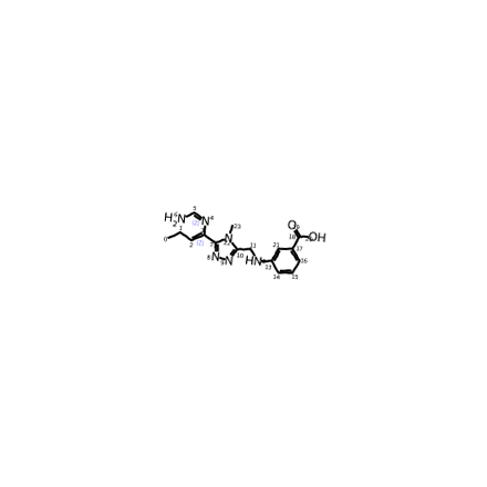 CC/C=C(\N=C/N)c1nnc(CNc2cccc(C(=O)O)c2)n1C